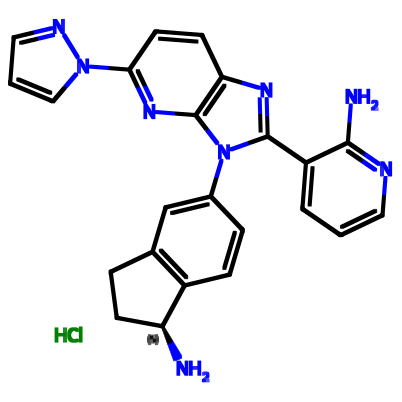 Cl.Nc1ncccc1-c1nc2ccc(-n3cccn3)nc2n1-c1ccc2c(c1)CC[C@@H]2N